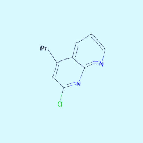 CC(C)c1cc(Cl)nc2ncccc12